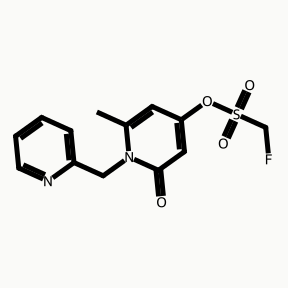 Cc1cc(OS(=O)(=O)CF)cc(=O)n1Cc1ccccn1